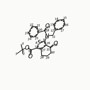 CC(C)(C)OC(=O)c1sc(N(Cc2ccccc2)C(=O)c2ccccc2)c2c1CCCC2=O